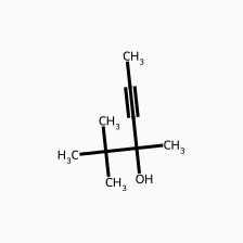 CC#CC(C)(O)C(C)(C)C